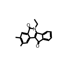 CCn1c2c(c3cc(C)c(C)cc3c1=O)C(=O)c1ccccc1-2